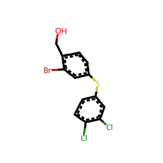 OCc1ccc(Sc2ccc(Cl)c(Cl)c2)cc1Br